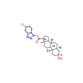 CC[C@]12CC[C@@](C)(O)C[C@@H]1CC[C@H]1[C@@H]3CC[C@H](C(=O)Cn4nnc5cc(Cl)ccc54)[C@@]3(C)CC[C@@H]12